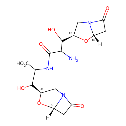 NC(C(=O)NC(C(=O)O)C(O)[C@H]1CN2C(=O)C[C@@H]2O1)C(O)[C@H]1CN2C(=O)C[C@@H]2O1